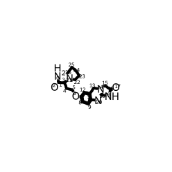 NC(=O)C(CCOc1ccc2c(c1)CN1CC(=O)NC1=N2)N1CCCCC1